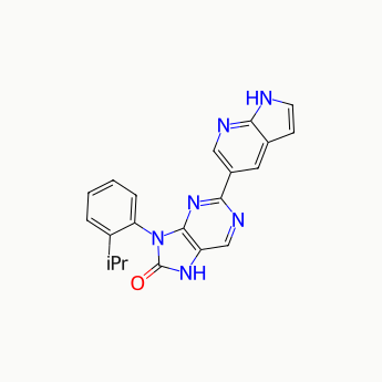 CC(C)c1ccccc1-n1c(=O)[nH]c2cnc(-c3cnc4[nH]ccc4c3)nc21